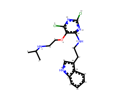 CC(C)NCCOc1c(Cl)nc(Cl)nc1NCCc1c[nH]c2ccccc12